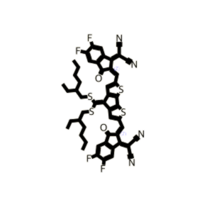 CCCCC(CC)CSC(SCC(CC)CCCC)=C1c2cc(/C=C3\C(=O)c4cc(F)c(F)cc4C3=C(C#N)C#N)sc2-c2sc(/C=C3\C(=O)c4cc(F)c(F)cc4C3=C(C#N)C#N)cc21